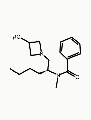 CCCC[C@@H](CN1CC(O)C1)N(C)C(=O)c1ccccc1